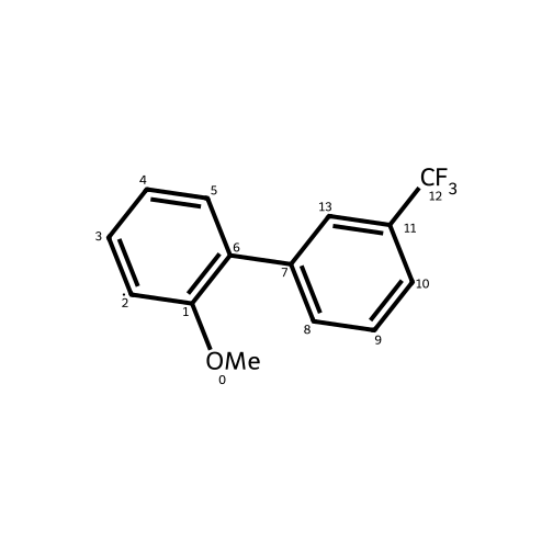 COc1[c]cccc1-c1cccc(C(F)(F)F)c1